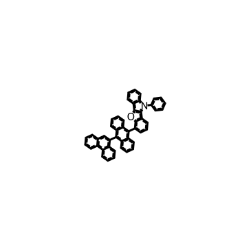 c1ccc(-n2c3ccccc3c3oc4c(-c5c6ccccc6c(-c6cc7ccccc7c7ccccc67)c6ccccc56)cccc4c32)cc1